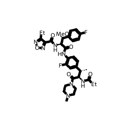 CCC(=O)N[C@@H](C(=O)N1CCN(C)CC1)[C@@H](C)c1ccc(NC(=O)[C@@H](NC(=O)c2nonc2CC)[C@H](OC)c2ccc(F)cc2)c(F)c1